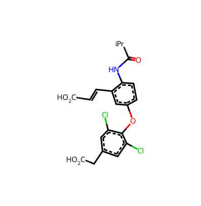 CC(C)C(=O)Nc1ccc(Oc2c(Cl)cc(CC(=O)O)cc2Cl)cc1C=CC(=O)O